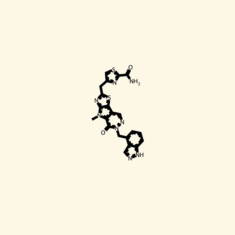 Cn1c2nc(Cc3csc(C(N)=O)n3)sc2c2cnn(Cc3cccc4[nH]ncc34)c(=O)c21